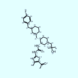 CC(=O)c1sc(NC(=O)N[C@H]2CN(CC(C)(C)O)CC[C@H]2CN2CCCC(Cc3ccc(F)cc3)C2)nc1C